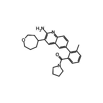 Cc1cccc(C(=O)N2CCCC2)c1-c1ccc2nc(N)c(C3CCCOCC3)cc2c1